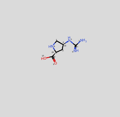 N=C(N)N[C@@H]1CN[C@H](C(=O)O)C1